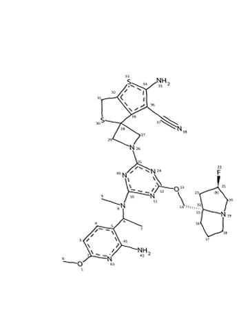 COc1ccc(C(C)N(C)c2nc(OC[C@@]34CCCN3C[C@H](F)C4)nc(N3CC4(C3)SCc3sc(N)c(C#N)c34)n2)c(N)n1